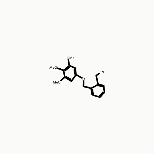 COc1cc(OCc2ccccc2CC#N)cc(OC)c1OC